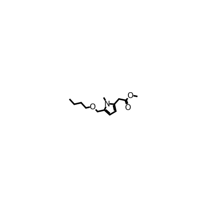 CCCCOCc1ccc(CC(=O)OC)n1C